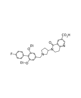 CCOc1cc(CN2CCC(N3CCc4ncc(C(=O)O)cc4C3=O)C2)cc(OCC)c1-c1ccc(F)cc1